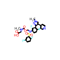 CN(CC(=O)O)C(=O)OCN(c1ccc(F)c(-c2nn(C)cc2-c2ccncc2)c1F)S(=O)(=O)c1cc(F)ccc1F